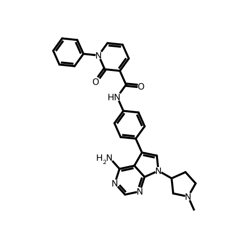 CN1CCC(n2cc(-c3ccc(NC(=O)c4cccn(-c5ccccc5)c4=O)cc3)c3c(N)ncnc32)C1